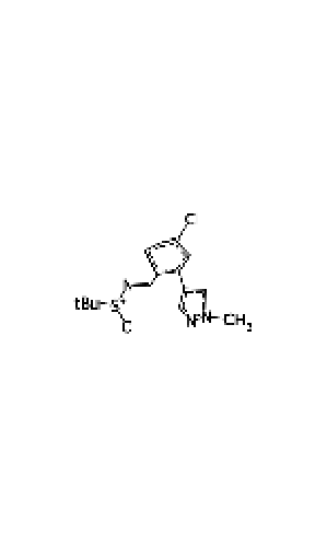 Cn1cc(-c2cc(Cl)ccc2C=N[S+]([O-])C(C)(C)C)cn1